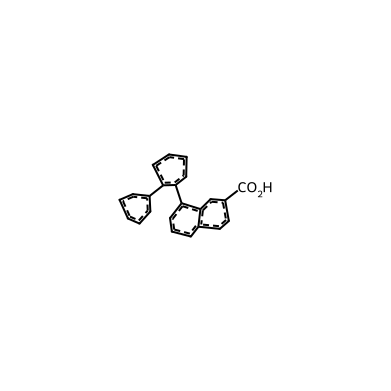 O=C(O)c1ccc2cccc(-c3ccccc3-c3ccccc3)c2c1